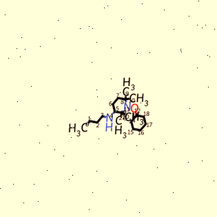 CCCCNC1CCC(C)(C)N(OC2CCCCC2)C1(C)C